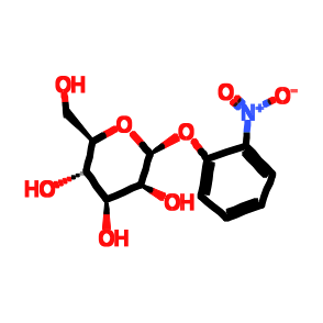 O=[N+]([O-])c1ccccc1O[C@@H]1O[C@H](CO)[C@@H](O)[C@H](O)[C@@H]1O